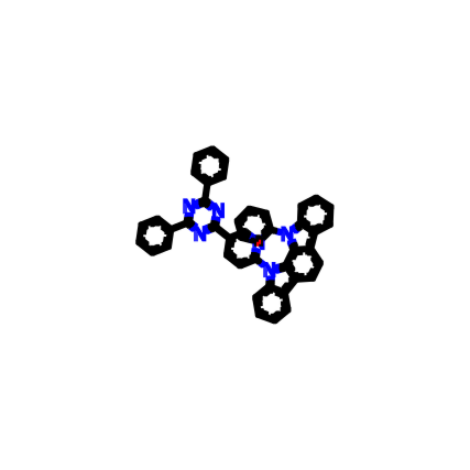 c1ccc(-c2nc(-c3ccccc3)nc(-c3ccc(-n4c5ccccc5c5ccc6c7ccccc7n(-c7ccccc7)c6c54)nc3)n2)cc1